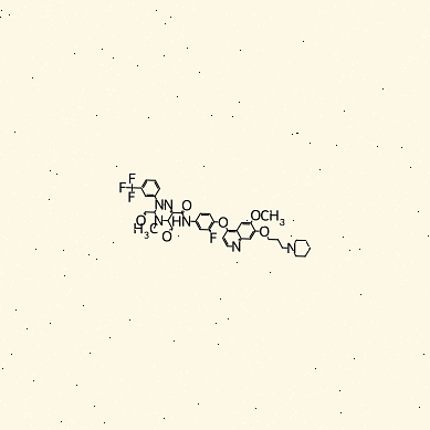 COc1cc2c(Oc3ccc(NC(=O)C4=NN(c5cccc(C(F)(F)F)c5)C(C=O)N(C)C4C=O)cc3F)ccnc2cc1OCCCN1CCCCC1